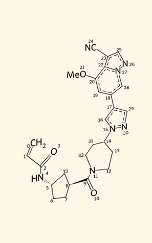 C=CC(=O)N[C@H]1CC[C@H](C(=O)N2CCC(n3cc(-c4cc(OC)c5c(C#N)cnn5c4)cn3)CC2)C1